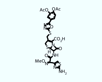 CO/N=C(\C(=O)N[C@@H]1C(=O)N2C(C(=O)O)=C(CSc3nnc(-c4ccc(OC(C)=O)c(OC(C)=O)c4)o3)CS[C@H]12)c1csc(N)n1